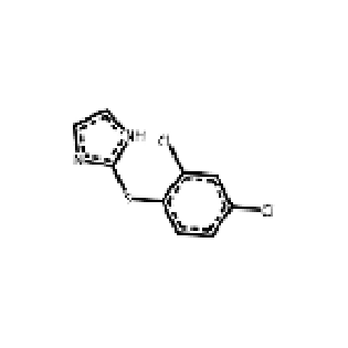 Clc1ccc(Sc2ncc[nH]2)c(Cl)c1